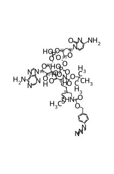 CSS[C@@H](CC[C@H](NC(=O)OC(C)(C)C)C(=O)O[C@H]1[C@@H](O)[C@H](n2cnc3c(N)ncnc32)O[C@@H]1COP(=O)(O)O[C@H]1C[C@H](n2ccc(N)nc2=O)O[C@@H]1COP(=O)(O)O)CNC(=O)OCc1ccc(N=[N+]=[N-])cc1